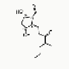 CCCC(C)C(=O)CC[C@@H]1[C@H](C=O)[C@@H](O)C[C@H]1O